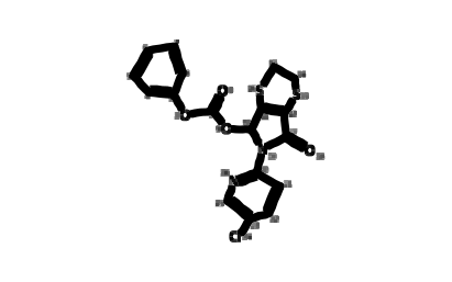 O=C(Oc1ccccc1)OC1C2=C(SCCS2)C(=O)N1c1ccc(Cl)cn1